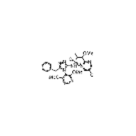 COc1ncnc(OC)c1-n1c(Cc2ccccc2)nnc1NS(=O)(=O)C(C)C(OC)c1ncc(Cl)cn1